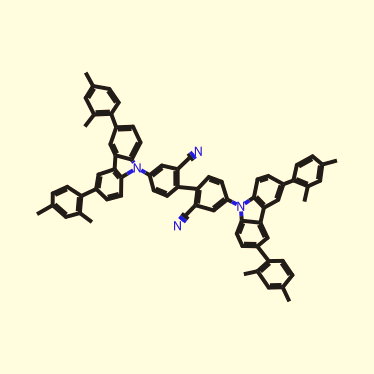 Cc1ccc(-c2ccc3c(c2)c2cc(-c4ccc(C)cc4C)ccc2n3-c2ccc(-c3ccc(-n4c5ccc(-c6ccc(C)cc6C)cc5c5cc(-c6ccc(C)cc6C)ccc54)cc3C#N)c(C#N)c2)c(C)c1